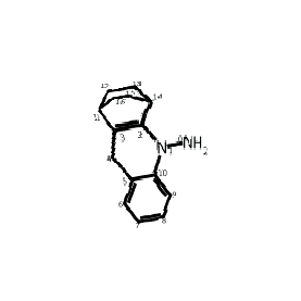 NN1C2=C(Cc3ccccc31)C1CCC2CC1